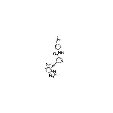 Cc1nc2cnc(N)c(C#Cc3cncc(C(=O)Nc4ccc(CN(C)C)cc4)c3)c2nc1C